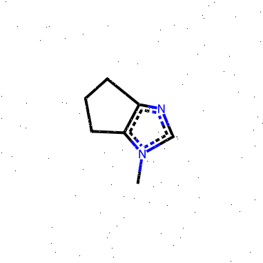 Cn1[c]nc2c1CCC2